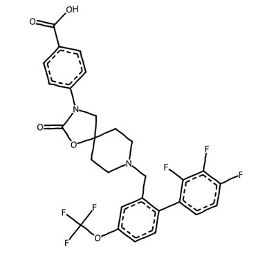 O=C(O)c1ccc(N2CC3(CCN(Cc4cc(OC(F)(F)F)ccc4-c4ccc(F)c(F)c4F)CC3)OC2=O)cc1